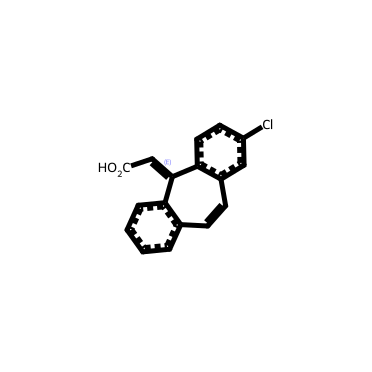 O=C(O)/C=C1\c2ccccc2C=Cc2cc(Cl)ccc21